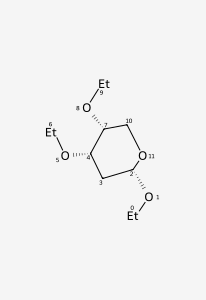 CCO[C@@H]1C[C@H](OCC)[C@H](OCC)CO1